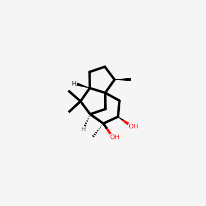 C[C@@H]1CC[C@H]2C(C)(C)[C@H]3CC12C[C@@H](O)[C@@]3(C)O